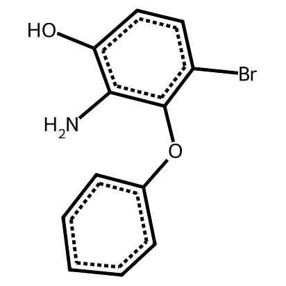 Nc1c(O)ccc(Br)c1Oc1ccccc1